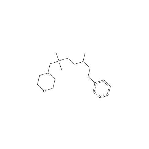 CC(CCc1ccccc1)CCC(C)(C)CC1CCOCC1